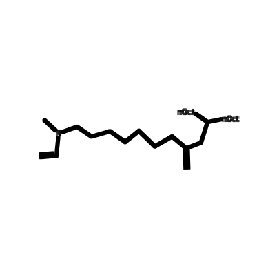 C=CN(C)CCCCCCCC(=C)CC(CCCCCCCC)CCCCCCCC